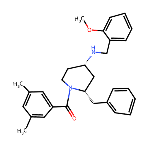 COc1ccccc1CN[C@H]1CCN(C(=O)c2cc(C)cc(C)c2)[C@@H](Cc2ccccc2)C1